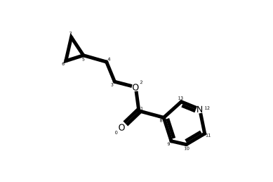 O=C(OCCC1CC1)c1cccnc1